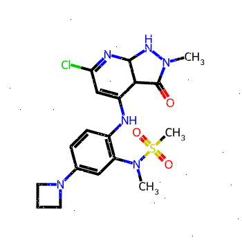 CN1NC2N=C(Cl)C=C(Nc3ccc(N4CCC4)cc3N(C)S(C)(=O)=O)C2C1=O